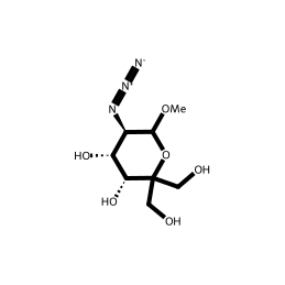 COC1OC(CO)(CO)[C@H](O)[C@H](O)[C@H]1N=[N+]=[N-]